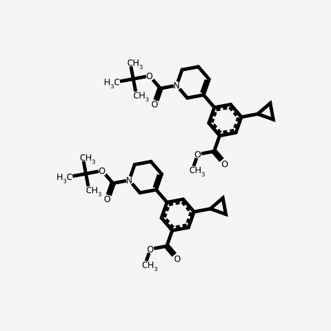 COC(=O)c1cc(C2=CCCN(C(=O)OC(C)(C)C)C2)cc(C2CC2)c1.COC(=O)c1cc(C2=CCCN(C(=O)OC(C)(C)C)C2)cc(C2CC2)c1